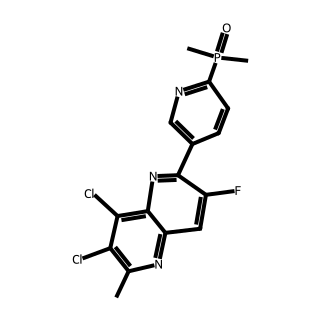 Cc1nc2cc(F)c(-c3ccc(P(C)(C)=O)nc3)nc2c(Cl)c1Cl